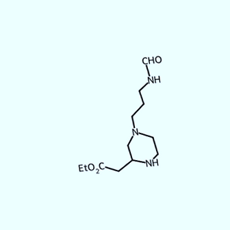 CCOC(=O)CC1CN(CCCNC=O)CCN1